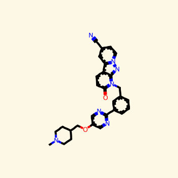 CN1CCC(COc2cnc(-c3cccc(Cn4c(=O)ccc5c4nn4ccc(C#N)cc54)c3)nc2)CC1